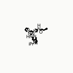 C#CCCC(=O)NC1CN(c2cc(N3CCCC3)nc(Nc3cc4c(cn3)cnn4C(C)C)n2)C1